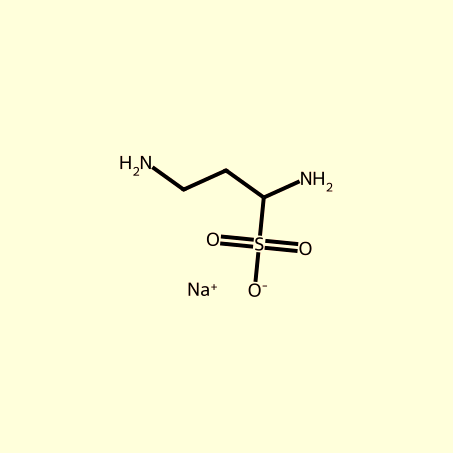 NCCC(N)S(=O)(=O)[O-].[Na+]